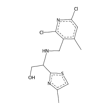 Cc1csc(C(CO)NCc2c(C)cc(Cl)nc2Cl)n1